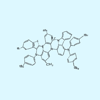 Cc1cc2c3c(c1)N(c1ccc(N(c4ccc(C(C)(C)C)cc4)c4ccc(C(C)(C)C)cc4)c4c5ccccc5n(C)c14)c1ccc(C(C)(C)C)cc1B3c1sc3ccc(C(C)(C)C)cc3c1N2c1ccc(C(C)(C)C)cc1